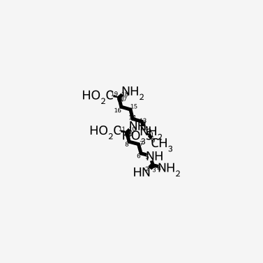 CS(=O)(=O)O.N=C(N)NCCC[C@H](N)C(=O)O.NCCCC[C@H](N)C(=O)O